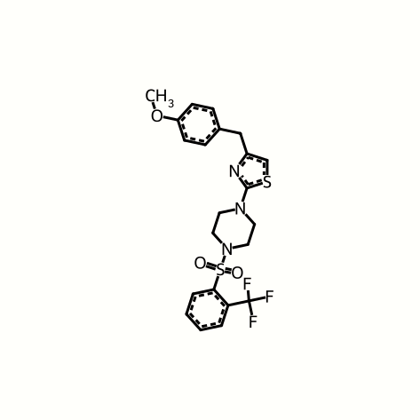 COc1ccc(Cc2csc(N3CCN(S(=O)(=O)c4ccccc4C(F)(F)F)CC3)n2)cc1